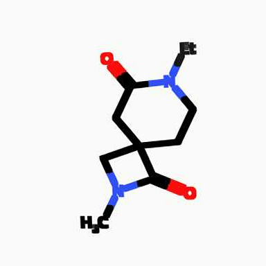 CCN1CCC2(CC1=O)CN(C)C2=O